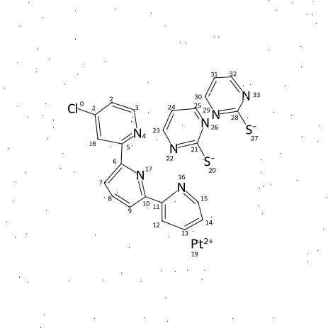 Clc1ccnc(-c2cccc(-c3ccccn3)n2)c1.[Pt+2].[S-]c1ncccn1.[S-]c1ncccn1